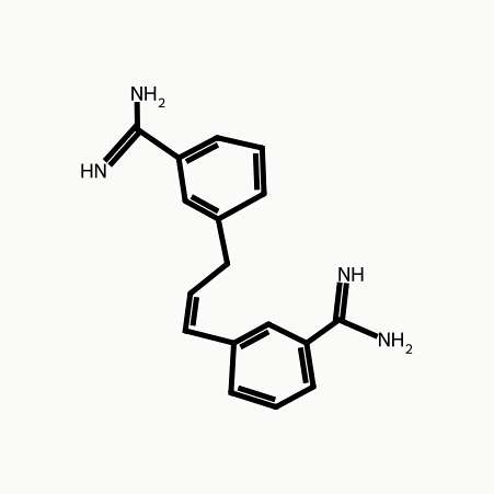 N=C(N)c1cccc(/C=C\Cc2cccc(C(=N)N)c2)c1